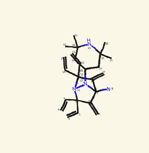 C=CC1(C=C)C(=C)C2([N])C(=C)C(C=C)(C=C)N1N2C1CC(C)(C)NC(C)(C)C1